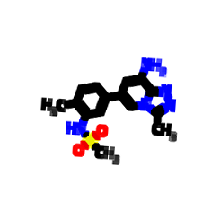 Cc1ccc(-c2cc(N)c3nnc(C)n3c2)cc1NS(C)(=O)=O